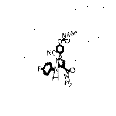 CNC(=O)O[C@H]1CC[C@@H](n2cc(C(N)=O)c(Nc3ccc(F)cc3)n2)[C@H](C#N)C1